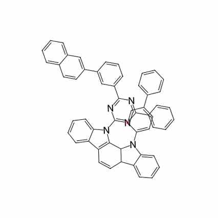 C1=CC2c3ccccc3N(c3ccc(-c4ccccc4)cc3)C2c2c1c1ccccc1n2-c1nc(-c2ccccc2)nc(-c2cccc(-c3ccc4ccccc4c3)c2)n1